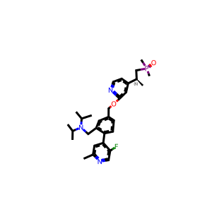 Cc1cc(-c2ccc(COc3cc([C@H](C)CP(C)(C)=O)ccn3)cc2CN(C(C)C)C(C)C)c(F)cn1